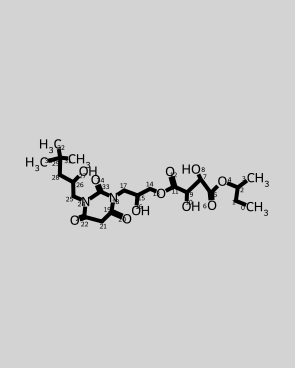 CCC(C)OC(=O)C(O)C(O)C(=O)OCC(O)CN1C(=O)CC(=O)N(CC(O)CC(C)(C)C)C1=O